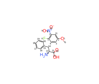 COc1ccc(F)c([N+](=O)[O-])c1.NC(Cc1ccccc1)C(=O)O